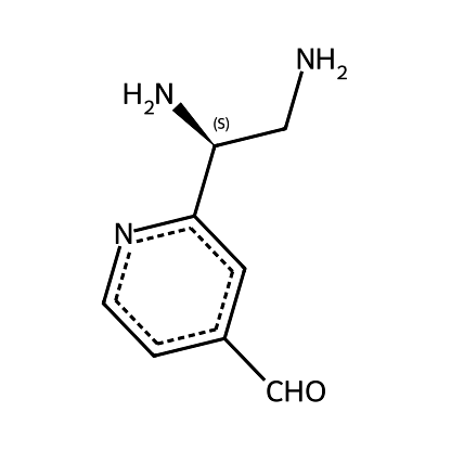 NC[C@H](N)c1cc(C=O)ccn1